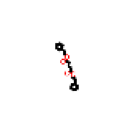 O=C(CCCC(=O)OC=Cc1ccccc1)OC=Cc1ccccc1